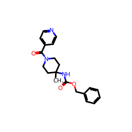 CC1(NC(=O)OCc2ccccc2)CCN(C(=O)c2ccncc2)CC1